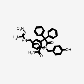 NC(=O)[C@@H](CCCNC(N)=N[N+](=O)[O-])N(Cc1ccc(O)cc1)C(=O)C(c1ccccc1)(c1ccccc1)c1ccccc1